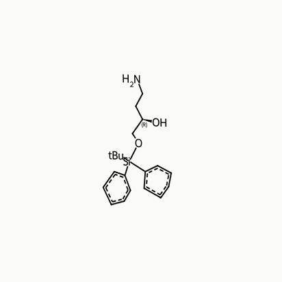 CC(C)(C)[Si](OC[C@H](O)CCN)(c1ccccc1)c1ccccc1